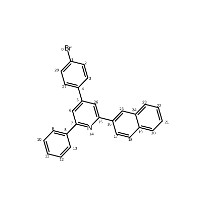 Brc1ccc(-c2cc(-c3ccccc3)nc(-c3ccc4ccccc4c3)c2)cc1